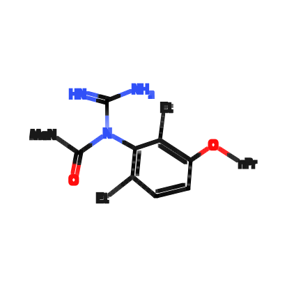 CCCOc1ccc(CC)c(N(C(=N)N)C(=O)NC)c1CC